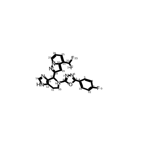 Fc1ccc(-c2nnc(N3CCc4[nH]cnc4C3c3cc4c(C(F)F)cccn4n3)o2)cc1